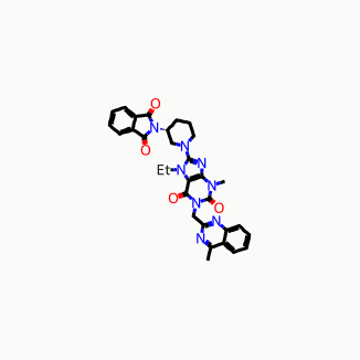 CCn1c(N2CCC[C@@H](N3C(=O)c4ccccc4C3=O)C2)nc2c1c(=O)n(Cc1nc(C)c3ccccc3n1)c(=O)n2C